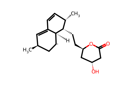 C[C@H]1C=C2C=C[C@H](C)[C@H](CC[C@@H]3C[C@@H](O)CC(=O)O3)[C@H]2[C]C1